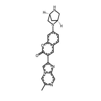 Cc1cn2cc(-c3cc4ccc(N5C[C@@H]6C[C@H]5CN6)cc4oc3=O)nc2cn1